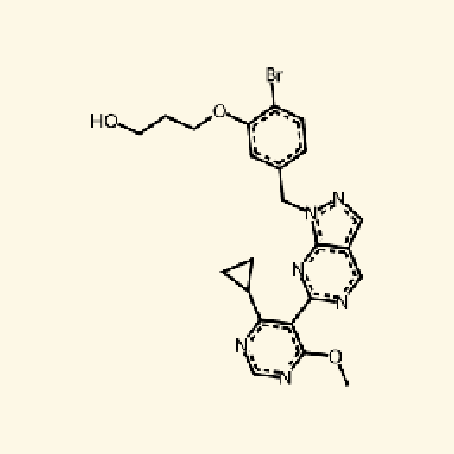 COc1ncnc(C2CC2)c1-c1ncc2cnn(Cc3ccc(Br)c(OCCCO)c3)c2n1